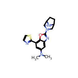 CN(C)c1cc(-c2nccs2)c2oc(N3CC4CCC(C3)N4)nc2c1